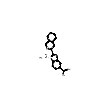 Cl.Cl.N=C(N)c1ccc2[nH]c(-c3cc4ccccc4cn3)nc2c1